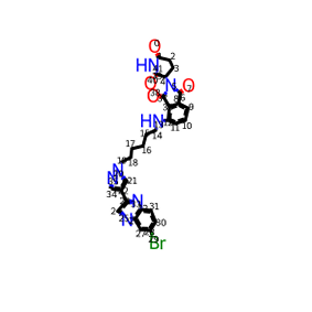 O=C1CCC(N2C(=O)c3cccc(NCCCCCCn4cc(-c5cnc6cc(Br)ccc6n5)cn4)c3C2=O)C(=O)N1